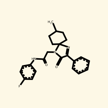 CC1CCC2(CC1)N=C(c1ccccc1)C(=O)N2CC(=O)Nc1ccc(F)cc1